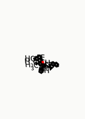 C#Cc1c(F)ccc2cc(O)cc(-c3c(C(C)C)cc4c(N5CC6CCC(C5)N6)nc(OCC5(CN6CCc7ccccc7C6)CC5)nc4c3F)c12